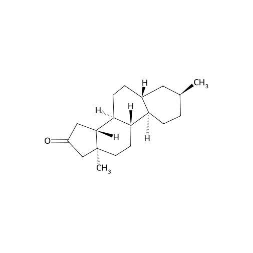 C[C@H]1CC[C@@H]2[C@H](CC[C@H]3[C@H]2CC[C@@]2(C)CC(=O)C[C@H]32)C1